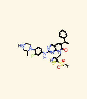 C=C(c1ccccc1)c1cc2cnc(Nc3ccc(N4CCNCC4C)c(F)c3)nc2n(Cc2cnsc2S(=O)(=O)C(C)C)c1=O